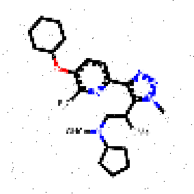 COC(CN(C=O)C1CCCC1)c1c(-c2ccc(OC3CCCCC3)c(C(F)(F)F)n2)nnn1C